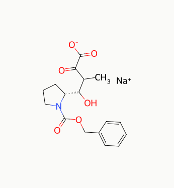 CC(C(=O)C(=O)[O-])C(O)[C@H]1CCCN1C(=O)OCc1ccccc1.[Na+]